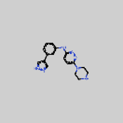 c1cc(Nc2ccc(N3CCNCC3)nn2)cc(-c2cn[nH]c2)c1